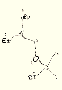 CCCCC(CC)COC(C)(C)CC